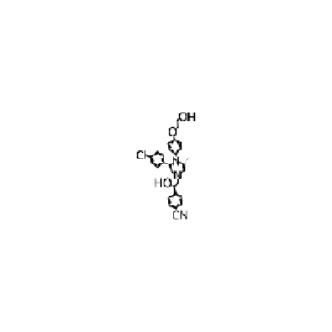 C[C@@H]1CN(C[C@@H](O)c2ccc(C#N)cc2)C[C@@H](c2ccc(Cl)cc2)N1c1ccc(OCCO)cc1